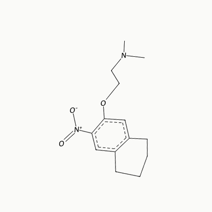 CN(C)CCOc1cc2c(cc1[N+](=O)[O-])CCCC2